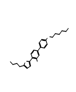 CCCCCCOc1ccc(-c2ccc(-c3ccc(CCCC)s3)c(F)c2)cc1